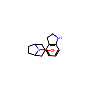 OC1CC2CCC(C1)N2c1cccc2c1CCN2